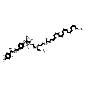 CC/C=C\C/C=C\C/C=C\C/C=C\C/C=C\C/C=C\CCC(=O)NCCCN(CC)CCNC(=O)C(C)(C)Oc1ccc(CCNC(=O)c2ccc(Cl)cc2)cc1